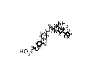 C[C@H](Oc1ccc(N2CCN(CCN(C)c3nc(N)n4nc(-c5ccco5)cc4n3)CC2)c(F)c1)C(=O)O